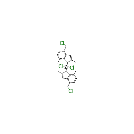 CC1=Cc2c(CCl)ccc(C)c2[CH]1[Zr]([Cl])([Cl])[CH]1C(C)=Cc2c(CCl)ccc(C)c21